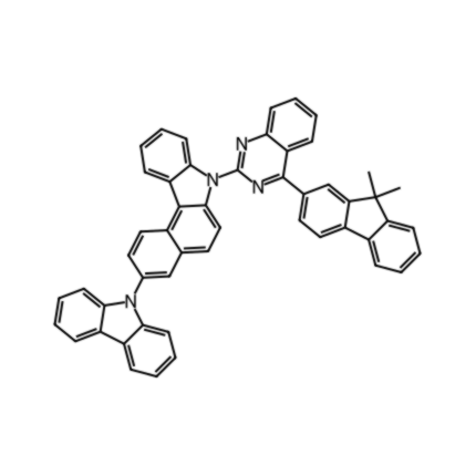 CC1(C)c2ccccc2-c2ccc(-c3nc(-n4c5ccccc5c5c6ccc(-n7c8ccccc8c8ccccc87)cc6ccc54)nc4ccccc34)cc21